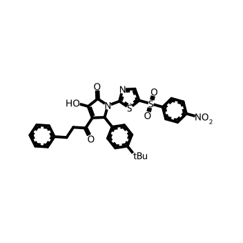 CC(C)(C)c1ccc(C2C(C(=O)CCc3ccccc3)=C(O)C(=O)N2c2ncc(S(=O)(=O)c3ccc([N+](=O)[O-])cc3)s2)cc1